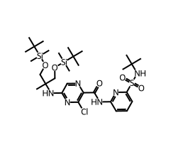 CC(C)(C)NS(=O)(=O)c1cccc(NC(=O)c2ncc(NC(C)(CO[Si](C)(C)C(C)(C)C)CO[Si](C)(C)C(C)(C)C)nc2Cl)n1